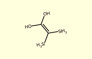 OC(O)=C([SiH3])[SiH3]